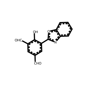 O=Cc1cc(C=O)c(O)c(-c2nc3ccccc3o2)c1